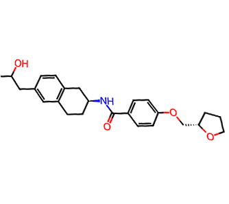 CC(O)Cc1ccc2c(c1)CC[C@H](NC(=O)c1ccc(OC[C@@H]3CCCO3)cc1)C2